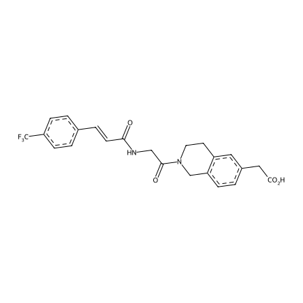 O=C(O)Cc1ccc2c(c1)CCN(C(=O)CNC(=O)/C=C/c1ccc(C(F)(F)F)cc1)C2